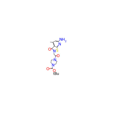 Cc1cc(N)nc2sn(CC(=O)N3CCN(C(=O)OC(C)(C)C)CC3)c(=O)c12